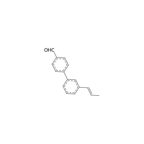 CC=Cc1cccc(-c2ccc(C=O)cc2)c1